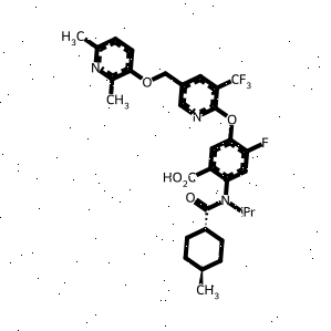 Cc1ccc(OCc2cnc(Oc3cc(C(=O)O)c(N(C(=O)[C@H]4CC[C@H](C)CC4)C(C)C)cc3F)c(C(F)(F)F)c2)c(C)n1